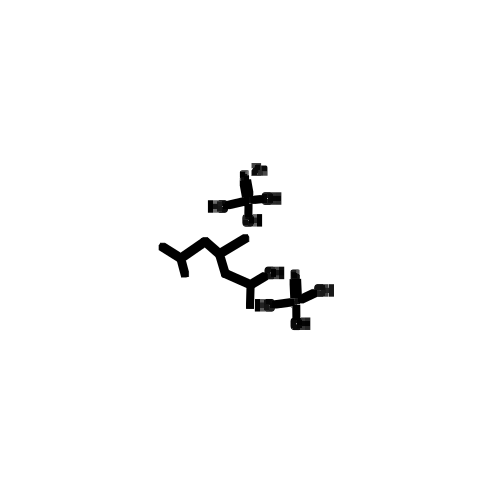 CC(C)CC(C)CC(C)O.OP(O)(O)=S.OP(O)(O)=S.[Zn]